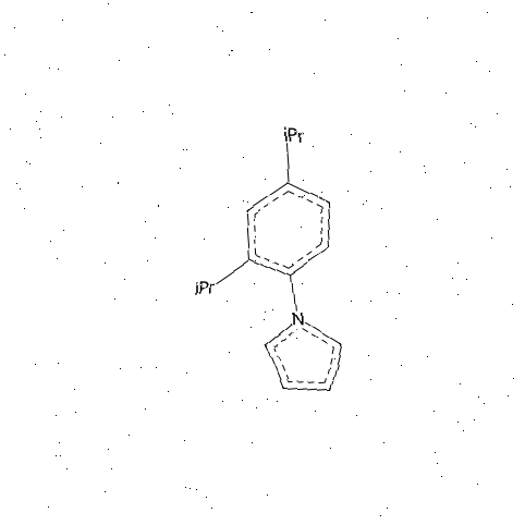 CC(C)c1ccc(-n2cccc2)c(C(C)C)c1